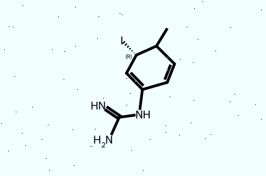 CC1C=CC(NC(=N)N)=C[C@@H]1I